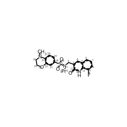 CC(C)N(Cc1cc2cccc(F)c2[nH]c1=O)S(=O)(=O)c1ccc2c(c1)OCCN2C